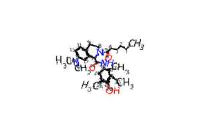 CCCCCC(=O)N1CCc2ccc(N(C)C)cc2C1C(=O)Nc1cc(C)c(O)c(C)c1C